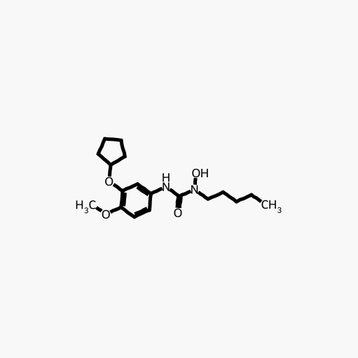 CCCCCN(O)C(=O)Nc1ccc(OC)c(OC2CCCC2)c1